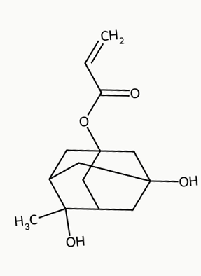 C=CC(=O)OC12CC3CC(O)(CC(C1)C3(C)O)C2